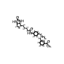 CCN(Cc1ccc(NC(=O)CCCCC2SCC3NC(=O)NC32)cc1)Cc1cccc(C(=O)OC)n1